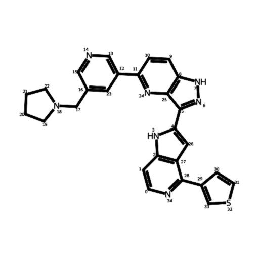 c1cc2[nH]c(-c3n[nH]c4ccc(-c5cncc(CN6CCCC6)c5)nc34)cc2c(-c2ccsc2)n1